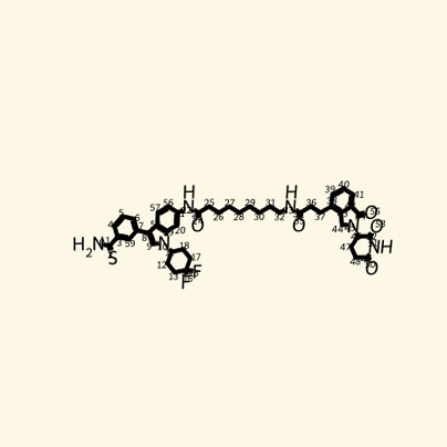 NC(=S)c1cccc(-c2cn(C3CCC(F)(F)CC3)c3cc(NC(=O)CCCCCCCCNC(=O)CCc4cccc5c4CN(C4CCC(=O)NC4=O)C5=O)ccc23)c1